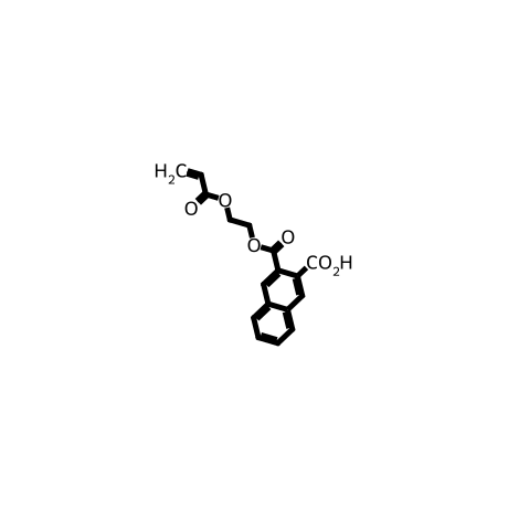 C=CC(=O)OCCOC(=O)c1cc2ccccc2cc1C(=O)O